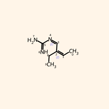 C/C=C(\C=N/C(=N)N)CC